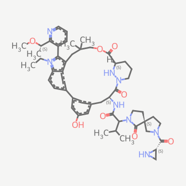 CCn1c(-c2cccnc2[C@H](C)OC)c2c3cc(ccc31)-c1cc(O)cc(c1)C[C@H](NC(=O)C(C(C)C)N1CC[C@]3(CCN(C(=O)[C@@H]4CN4)C3)C1=O)C(=O)N1CCC[C@H](N1)C(=O)OCC(C)(C)C2